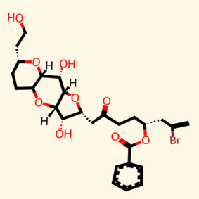 C=C(Br)C[C@@H](CCC(=O)C[C@H]1O[C@H]2[C@@H](O)[C@H]3O[C@@H](CCO)CCC3O[C@H]2[C@H]1O)OC(=O)c1ccccc1